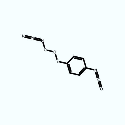 [N-]=[N+]=NOOSc1ccc(N=C=O)cc1